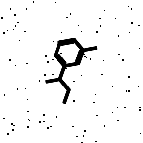 CCC(C)c1c[c]cc(C)c1